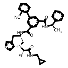 CC[C@H](NC[C@H](Cc1ccsc1)NC(=O)c1cc(C(=O)N[C@H](C)c2ccccc2)cc(-c2ccccc2C#N)c1)C(=O)NCC1CC1